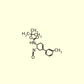 Cc1cccc(C2=CC[C@H](NC(=O)OC(C)(C)C)[C@@H](N=C=O)C2)c1